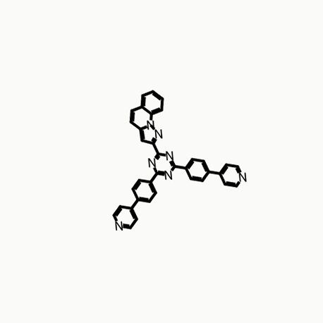 c1ccc2c(c1)ccc1cc(-c3nc(-c4ccc(-c5ccncc5)cc4)nc(-c4ccc(-c5ccncc5)cc4)n3)nn12